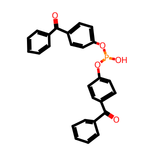 O=C(c1ccccc1)c1ccc(OP(O)Oc2ccc(C(=O)c3ccccc3)cc2)cc1